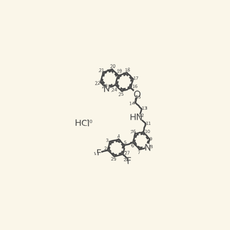 Cl.Fc1ccc(-c2cncc(CNCCOc3ccc4cccnc4c3)c2)c(F)c1